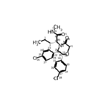 CCC[C@H](C(=O)NC)N1C(=O)CO[C@H](c2ccc(Cl)cc2)[C@@H]1c1ccc(Cl)cc1